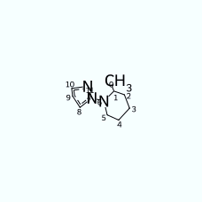 CC1CCCCN1n1cccn1